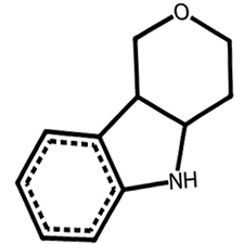 c1ccc2c(c1)NC1CCOCC21